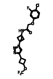 O=C(COc1ccc(Cl)c(F)c1)NC12CC(n3cc(C4CC(OC(F)(F)F)C4)nn3)(C1)C2